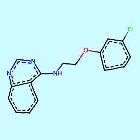 Clc1cccc(OCCNc2ncnc3ccccc23)c1